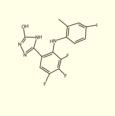 Cc1cc(I)ccc1Nc1c(-c2nnc(O)[nH]2)cc(F)c(F)c1F